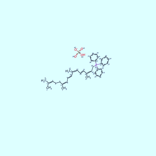 CC(C)=CCCC(C)=CC=CC(C)=CC=CC(C)=CC[P+](c1ccccc1)(c1ccccc1)c1ccccc1.O=S(=O)([O-])O